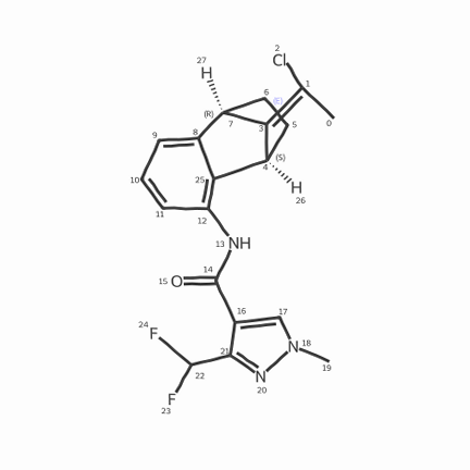 C/C(Cl)=C1\[C@H]2CC[C@@H]1c1cccc(NC(=O)c3cn(C)nc3C(F)F)c12